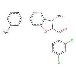 CNC1c2ccc(-c3cccc(C)c3)cc2OC1C(=O)c1ccc(Cl)cc1Cl